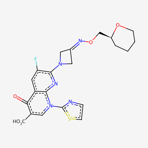 O=C(O)c1cn(-c2nccs2)c2nc(N3CC(=NOC[C@@H]4CCCCO4)C3)c(F)cc2c1=O